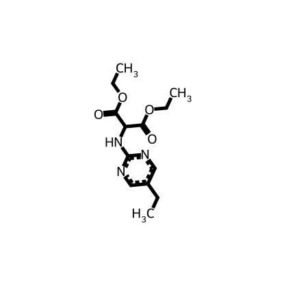 CCOC(=O)C(Nc1ncc(CC)cn1)C(=O)OCC